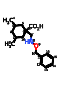 CC1CC(C)CC(CNOCc2ccccc2)(C(=O)O)C1